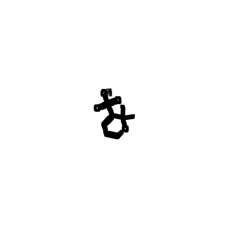 CC1(C)OC=CC=C1S(=O)(=O)O